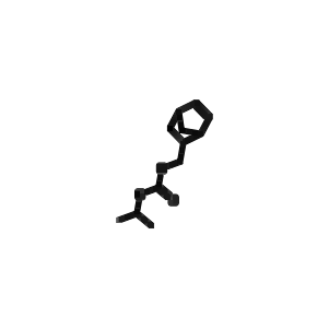 CC(C)OC(=O)OCC1CC2C=CC1C2